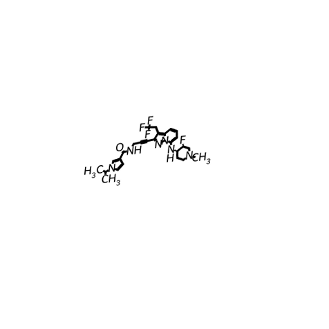 CC(C)n1ccc(C(=O)NCC#Cc2nn3c(N[C@@H]4CCN(C)C[C@@H]4F)cccc3c2CC(F)(F)F)c1